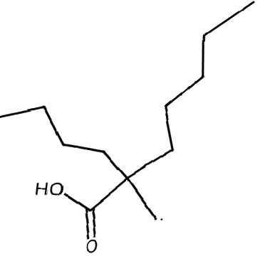 [CH2]C(CCCC)(CCCCC)C(=O)O